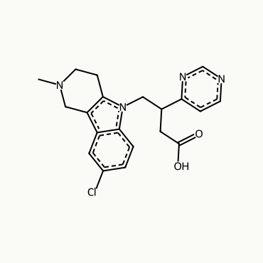 CN1CCc2c(c3cc(Cl)ccc3n2CC(CC(=O)O)c2ccncn2)C1